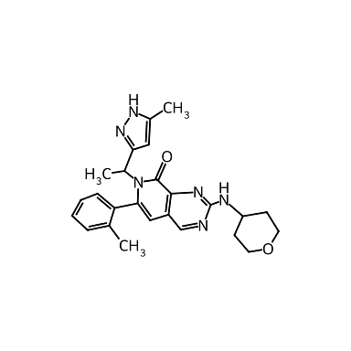 Cc1cc(C(C)n2c(-c3ccccc3C)cc3cnc(NC4CCOCC4)nc3c2=O)n[nH]1